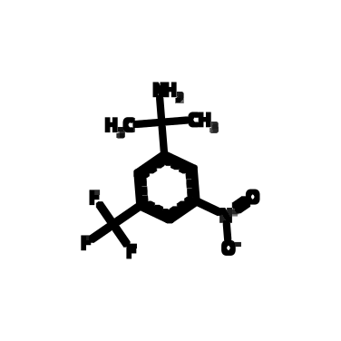 CC(C)(N)c1cc([N+](=O)[O-])cc(C(F)(F)F)c1